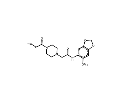 COc1cc2c(cc1NC(=O)CN1CCN(C(=O)OC(C)(C)C)CC1)OCO2